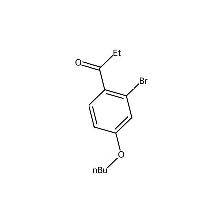 CCCCOc1ccc(C(=O)CC)c(Br)c1